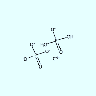 O=P([O-])(O)O.O=P([O-])([O-])[O-].[C+4]